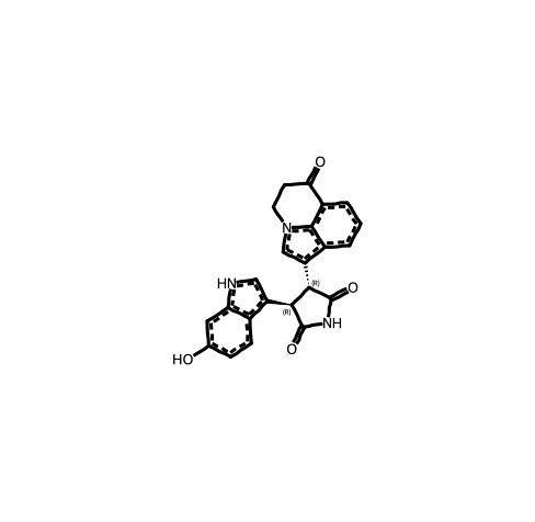 O=C1CCn2cc([C@@H]3C(=O)NC(=O)[C@H]3c3c[nH]c4cc(O)ccc34)c3cccc1c32